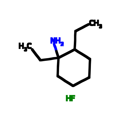 CCC1CCCCC1(N)CC.F